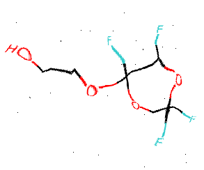 OCCOC1(F)OC(F)(F)OC1F